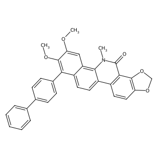 COc1cc2c(ccc3c4ccc5c(c4c(=O)n(C)c23)OCO5)c(-c2ccc(-c3ccccc3)cc2)c1OC